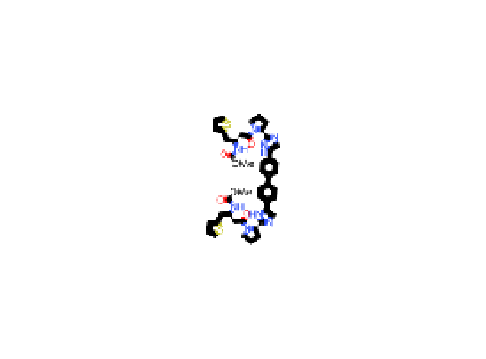 COC(=O)N[C@@H](CC(=O)N1CCC[C@H]1c1ncc(-c2ccc(-c3ccc(-c4cnc([C@@H]5CCCN5C(=O)C[C@@H](Cc5cccs5)NC(=O)OC)[nH]4)cc3)cc2)[nH]1)Cc1cccs1